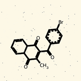 CC1=C(C(=O)c2ccc(Br)cc2)C(=O)C2C=CC=CC2C1=O